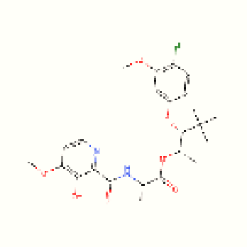 COc1cc(O[C@@H]([C@H](C)OC(=O)[C@H](C)NC(=O)c2nccc(OC)c2O)C(C)(C)C)ccc1Cl